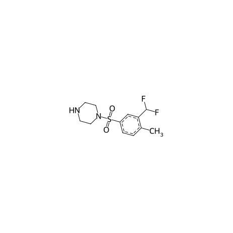 Cc1ccc(S(=O)(=O)N2CCNCC2)cc1C(F)F